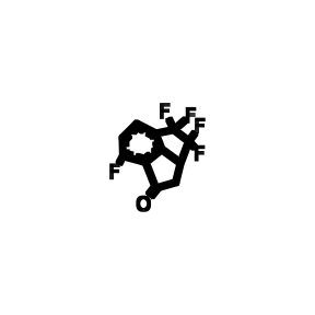 O=C1CC2c3c(ccc(F)c31)C(F)(F)C2(F)F